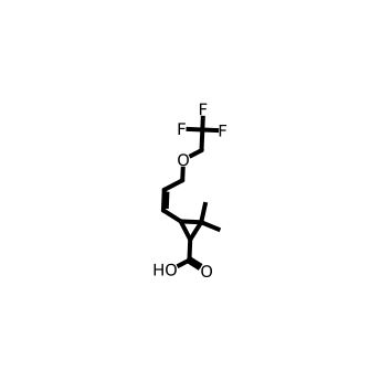 CC1(C)C(/C=C\COCC(F)(F)F)C1C(=O)O